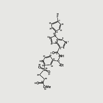 CCC(NC(=O)c1cncc2c1cnn2-c1ccc(F)cc1)c1ccnc(S(=O)(=O)CCC(=O)OC)c1